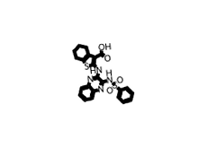 O=C(O)c1c(Nc2nc3ccccc3nc2NS(=O)(=O)c2ccccc2)sc2c1CCCC2